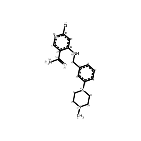 CN1CCN(c2cccc(CNc3cc(Cl)ncc3C(N)=O)c2)CC1